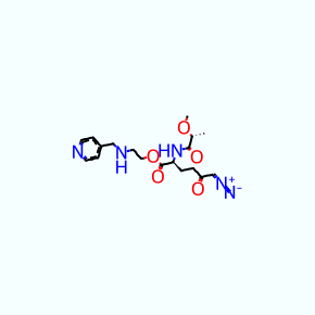 CO[C@H](C)C(=O)N[C@@H](CCC(=O)C=[N+]=[N-])C(=O)OCCNCc1ccncc1